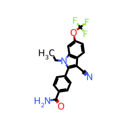 CCn1c(-c2ccc(C(N)=O)cc2)c(C#N)c2ccc(OC(F)(F)F)cc21